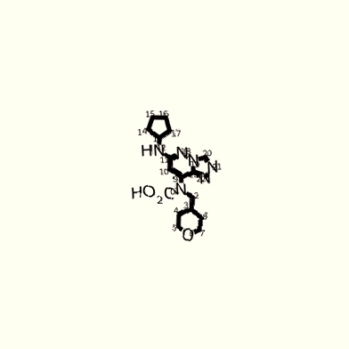 O=C(O)N(CC1CCOCC1)c1cc(NC2CCCC2)nn2cnnc12